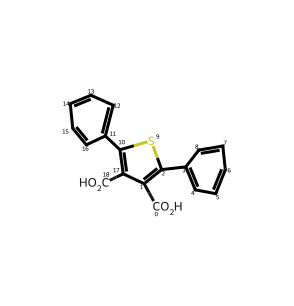 O=C(O)c1c(-c2ccccc2)sc(-c2ccccc2)c1C(=O)O